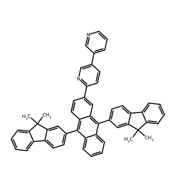 CC1(C)c2ccccc2-c2ccc(-c3c4ccccc4c(-c4ccc5c(c4)C(C)(C)c4ccccc4-5)c4cc(-c5ccc(-c6cccnc6)cn5)ccc34)cc21